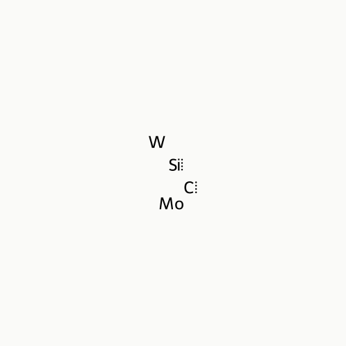 [C].[Mo].[Si].[W]